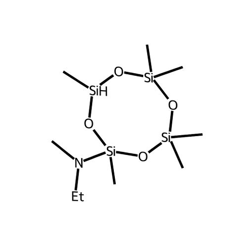 CCN(C)[Si]1(C)O[SiH](C)O[Si](C)(C)O[Si](C)(C)O1